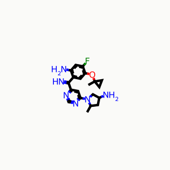 CC1CC(N)CN1c1cc(C(=N)c2cc(OC3(C)CC3)c(F)cc2N)ncn1